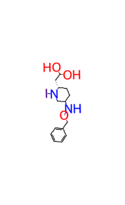 OC(O)C[C@@H]1CC[C@@H](NOCc2ccccc2)CN1I